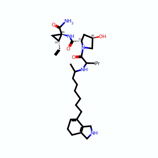 C=C[C@@H]1C[C@]1(NC(=O)[C@@H]1C[C@@H](O)CN1C(=O)C(NC(C)CCCCCCC1=CCCC2=C1CNC2)C(C)C)C(N)=O